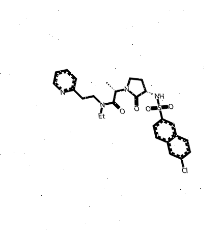 CCN(CCc1ccccn1)C(=O)[C@H](C)N1CC[C@H](NS(=O)(=O)c2ccc3cc(Cl)ccc3c2)C1=O